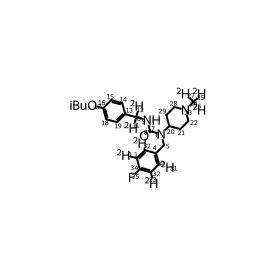 [2H]c1c([2H])c(CN(C(=O)NC([2H])([2H])c2ccc(OCC(C)C)cc2)C2CCN(C([2H])([2H])[2H])CC2)c([2H])c([2H])c1F